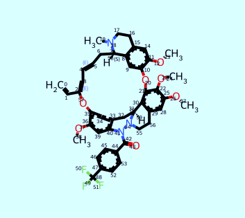 C=C/C1=C\C=C\C[C@H]2c3cc(c(OC)cc3CCN2C)Oc2c(OC)c(OC)cc3c2[C@@H]2Cc4cc(c(OC)cc4N(C(=O)c4ccc(C(F)(F)F)cc4)N2CC3)O1